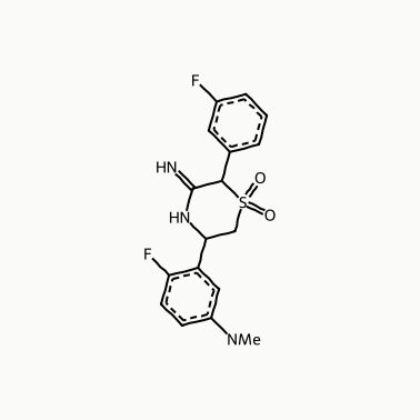 CNc1ccc(F)c(C2CS(=O)(=O)C(c3cccc(F)c3)C(=N)N2)c1